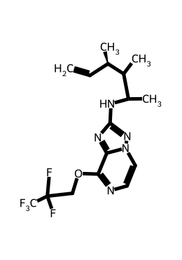 C=C[C@@H](C)C(C)C(C)Nc1nc2c(OCC(F)(F)C(F)(F)F)nccn2n1